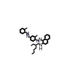 CCCCC(CC)CNc1ccc2ccccc2c1/N=N/c1ccc(/N=N/c2ccccc2C)cc1C